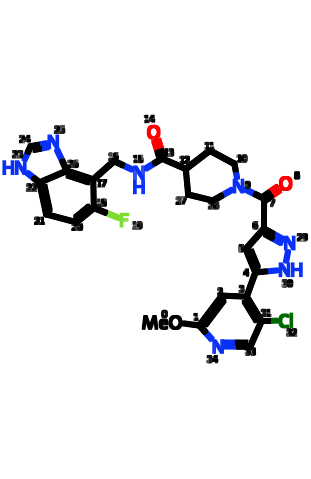 COc1cc(-c2cc(C(=O)N3CCC(C(=O)NCc4c(F)ccc5[nH]cnc45)CC3)n[nH]2)c(Cl)cn1